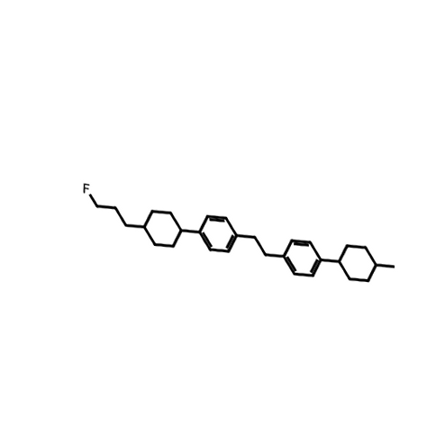 CC1CCC(c2ccc(CCc3ccc(C4CCC(CCCF)CC4)cc3)cc2)CC1